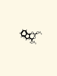 CC1ON(C)OC2c3ccccc3CC12